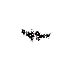 Cn1cnnc1C1(c2cccc(N3Cc4c(cc(CNC5(C)CCC5)cc4C(F)(F)F)C3=O)c2)CC2(CN(CC(F)(F)F)C2)C1